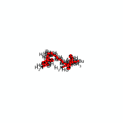 CC[C@H](C)[C@H](NC(C)=O)C(=O)N[C@@H](C)C(=O)N[C@@H](Cc1c[nH]c2ccccc12)C(=O)N[C@@H](Cc1ccc(O)cc1)C(=O)N[C@@H](CCCCN)C(=O)NCC(=O)NCC(=O)NCC(=O)NCC(=O)NCC(=O)N[C@H](C(=O)N[C@@H](C)C(=O)N[C@@H](Cc1c[nH]c2ccccc12)C(=O)N[C@@H](Cc1ccc(O)cc1)C(=O)N[C@@H](CCCCN)C(N)=O)[C@@H](C)CC